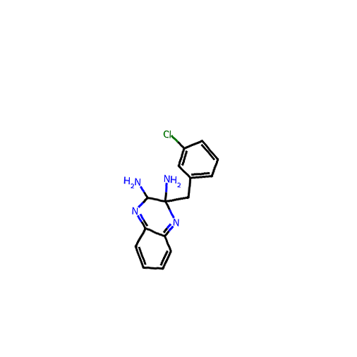 NC1N=c2ccccc2=NC1(N)Cc1cccc(Cl)c1